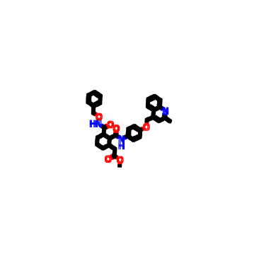 COC(=O)CC1CCCC(C(=O)NOCc2ccccc2)C1C(=O)Nc1ccc(OCc2cc(C)nc3ccccc23)cc1